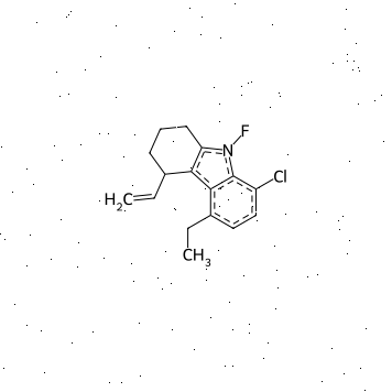 C=CC1CCCc2c1c1c(CC)ccc(Cl)c1n2F